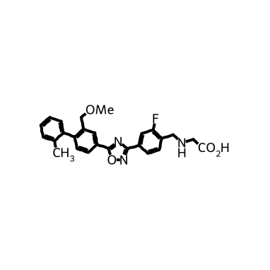 COCc1cc(-c2nc(-c3ccc(CNCC(=O)O)c(F)c3)no2)ccc1-c1ccccc1C